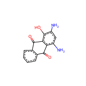 Nc1cc(N)c2c(c1O)C(=O)c1ccccc1C2=O